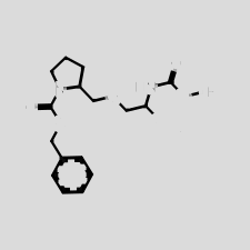 CC(C)(C)OC(=O)NC(COCC1CCCN1C(=O)OCc1ccccc1)C(=O)O